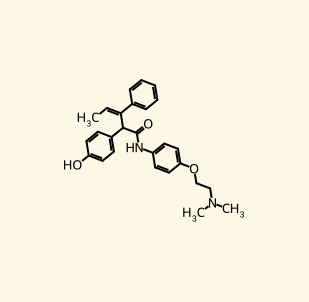 CC=C(c1ccccc1)C(C(=O)Nc1ccc(OCCN(C)C)cc1)c1ccc(O)cc1